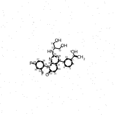 C=C(O)c1cccc(-c2nc(NC(CO)CO)nc3c2ccc(=O)n3-c2ccc(F)cc2F)c1